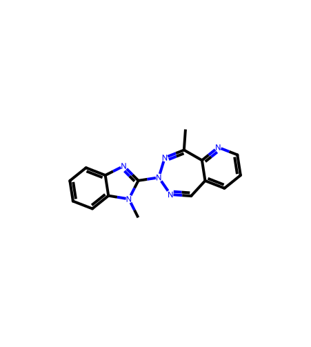 CC1=NN(c2nc3ccccc3n2C)N=Cc2cccnc21